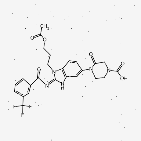 CC(=O)OCCCn1/c(=N\C(=O)c2cccc(C(F)(F)F)c2)[nH]c2cc(N3CCN(C(=O)O)CC3=O)ccc21